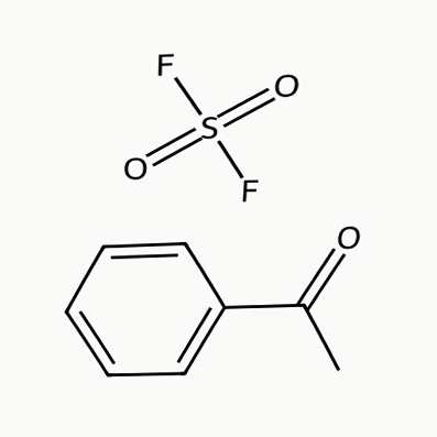 CC(=O)c1ccccc1.O=S(=O)(F)F